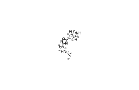 C[C@@H]1C[C@H]1NCC1(c2noc([C@H]3C[C@H]4CNC[C@H]4C3)n2)CC1